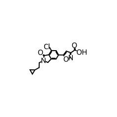 O=C(O)c1cc(-c2cc(Cl)c3c(c2)CN(CCC2CC2)C3=O)on1